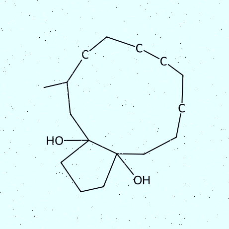 CC1CCCCCCCCC2(O)CCCC2(O)C1